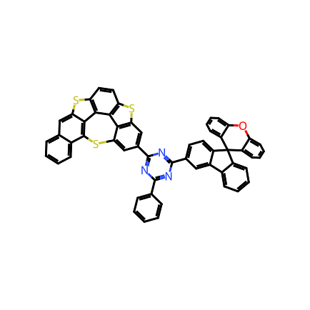 c1ccc(-c2nc(-c3ccc4c(c3)-c3ccccc3C43c4ccccc4Oc4ccccc43)nc(-c3cc4sc5ccc6sc7cc8ccccc8c8sc(c3)c4c5c6c78)n2)cc1